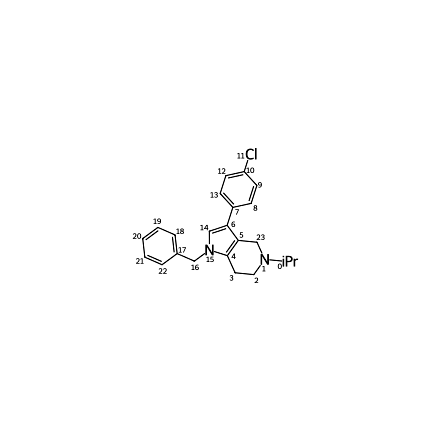 CC(C)N1CCc2c(c(-c3ccc(Cl)cc3)cn2Cc2ccccc2)C1